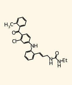 CCNC(=O)NC/C=C/c1ccccc1Nc1ccc(C(=O)c2ccccc2C)c(Cl)c1